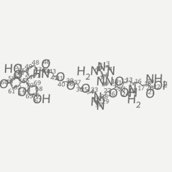 Nc1ncnc2c1ncn2[C@@H]1O[C@H](C[C@@H](N)CC[C@H](N)C(=O)O)[C@@H](O)[C@H]1OCc1cnnn1CCOCCOCCOCCNC(=O)c1ccc(C(=O)O)c(-c2c3ccc(=O)cc-3oc3cc(O)ccc23)c1